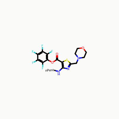 CCCCCNc1nc(CN2CCOCC2)sc1C(=O)Oc1c(F)c(F)c(F)c(F)c1F